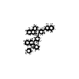 c1ccc(-n2c3ccccc3c3c(-c4cccc(N(c5ccc(-c6ccc7ccccc7c6)cc5)c5cc6ccccc6c6ccccc56)c4)cc4ccccc4c32)cc1